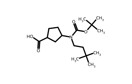 CC(C)(C)CCN(C(=O)OC(C)(C)C)C1CCC(C(=O)O)C1